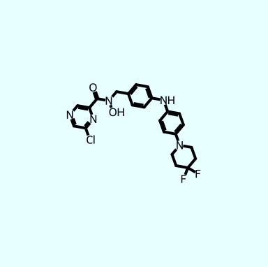 O=C(c1cncc(Cl)n1)N(O)Cc1ccc(Nc2ccc(N3CCC(F)(F)CC3)cc2)cc1